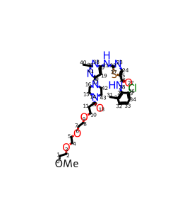 COCCOCCOCCOCCC(=O)N1CCN(c2cc(Nc3ncc(C(=O)Nc4c(C)cccc4Cl)s3)nc(C)n2)CC1